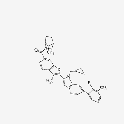 Cc1c(-c2cc3ccc(-c4cccc(O)c4F)cc3n2CC2CC2)oc2cc(C(=O)N3CC4CCC3C4C)ccc12